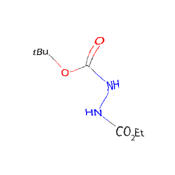 CCOC(=O)NNC(=O)OC(C)(C)C